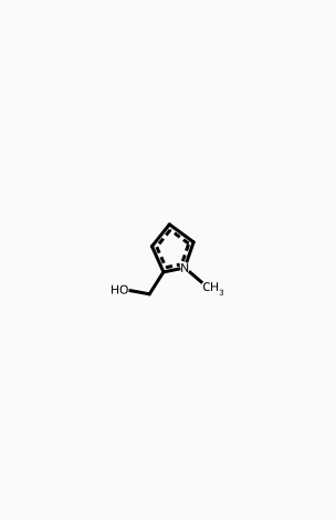 Cn1cccc1CO